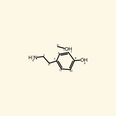 CO.NCCc1ccc(O)cc1